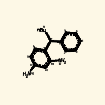 CCCCC(c1ccccc1)c1ccc(N)cc1N